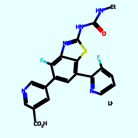 CCNC(=O)Nc1nc2c(F)c(-c3cncc(C(=O)O)c3)cc(-c3ncccc3F)c2s1.[Li]